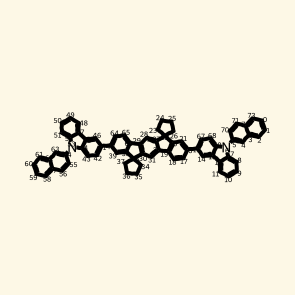 c1ccc2cc(-n3c4ccccc4c4cc(-c5ccc6c(c5)C5(CCCC5)c5cc7c(cc5-6)C5(CCCC5)c5cc(-c6ccc8c(c6)c6ccccc6n8-c6ccc8ccccc8c6)ccc5-7)ccc43)ccc2c1